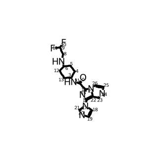 O=C(NC1CCC(NCC(F)F)CC1)c1nc(-n2ccnc2)c2cnccn12